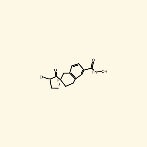 CCN1CC[C@]2(CCc3cc(C(=O)NO)ccc3C2)C1=O